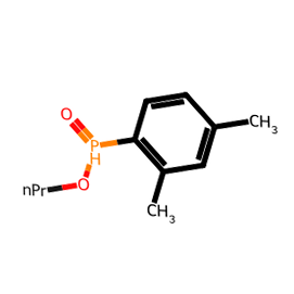 CCCO[PH](=O)c1ccc(C)cc1C